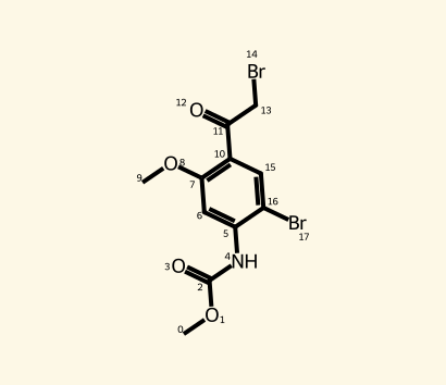 COC(=O)Nc1cc(OC)c(C(=O)CBr)cc1Br